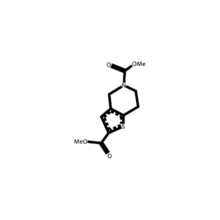 COC(=O)c1cc2c(s1)CCN(C(=O)OC)C2